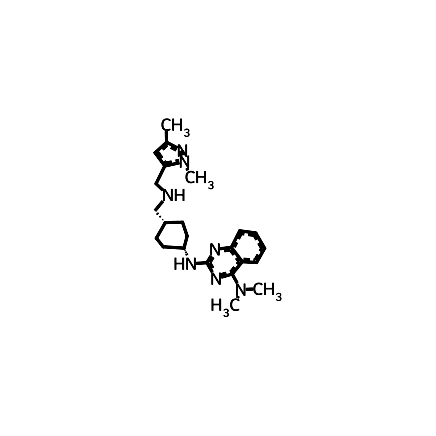 Cc1cc(CNC[C@H]2CC[C@@H](Nc3nc(N(C)C)c4ccccc4n3)CC2)n(C)n1